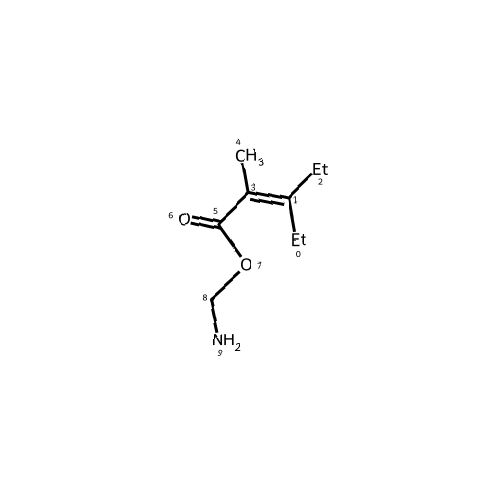 CCC(CC)=C(C)C(=O)OCN